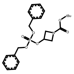 CC(C)(C)OC(=O)N1CC(OP(=O)(OCc2ccccc2)OCc2ccccc2)C1